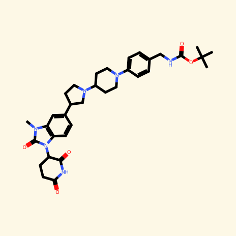 Cn1c(=O)n(C2CCC(=O)NC2=O)c2ccc(C3CCN(C4CCN(c5ccc(CNC(=O)OC(C)(C)C)cc5)CC4)C3)cc21